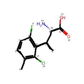 Cc1ccc(F)c(C(C)[C@H](N)C(=O)O)c1Cl